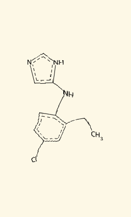 CCc1cc(Cl)ccc1Nc1cnc[nH]1